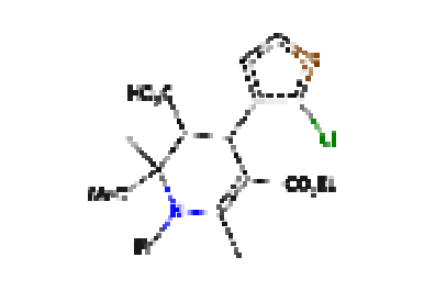 CCOC(=O)C1=C(C)N(C(C)C)C(C)(OC)C(C(=O)O)C1c1ccsc1Cl